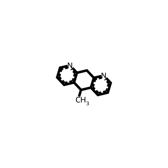 CC1c2cccnc2Cc2ncccc21